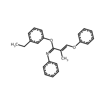 CCc1cccc(OC(=Nc2ccccc2)C(C)=COc2ccccc2)c1